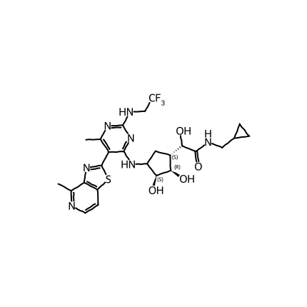 Cc1nc(NCC(F)(F)F)nc(NC2C[C@H](C(O)C(=O)NCC3CC3)[C@@H](O)[C@H]2O)c1-c1nc2c(C)nccc2s1